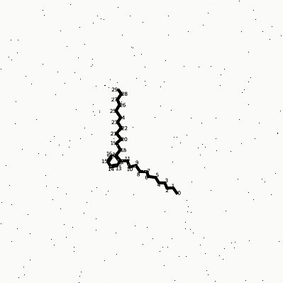 CCCCCCCCCCCCc1[c]cc[c]c1CCCCCCCCCCCC